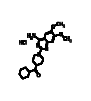 COc1cc2nc(N3CCC(C(=O)C4CCCCC4)CC3)nc(N)c2cc1OC.Cl